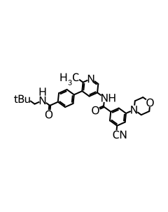 Cc1ncc(NC(=O)c2cc(C#N)cc(N3CCOCC3)c2)cc1-c1ccc(C(=O)NCC(C)(C)C)cc1